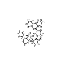 c1ccc2c(c1)-c1cccc3c(-c4cccc5sc6ccc(-c7cc8ccccc8c8ccccc78)cc6c45)ccc-2c13